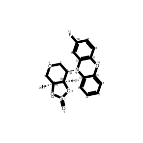 O=S1O[C@H]2[C@H](COC[C@@H]2N2c3ccccc3Oc3ccc(F)cc32)O1